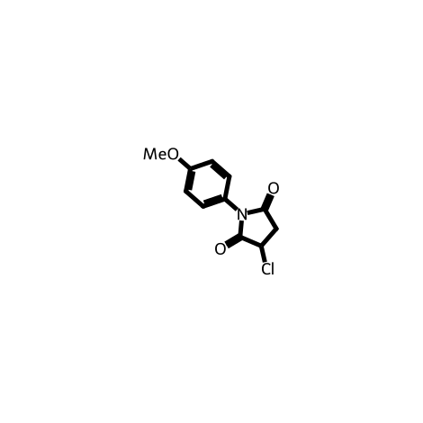 COc1ccc(N2C(=O)CC(Cl)C2=O)cc1